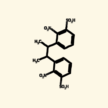 CC(c1cccc(S(=O)(=O)O)c1[N+](=O)[O-])C(C)c1cccc(S(=O)(=O)O)c1[N+](=O)[O-]